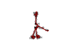 CC(=O)N[C@H]1[C@H]2OC[C@](COCCOCCOCCOCCn3cc(COCC(COCc4cn(CCCCCOCCOCCOO[C@]56CO[C@@H](O5)[C@H](NC(C)=O)[C@@H](OC(C)=O)[C@H]6OC(C)=O)nn4)(COCc4cn(CCOCCOCCOCCOC[C@@]56CO[C@@H](O5)[C@H](NC(C)=O)[C@@H](OC(C)=O)[C@H]6OC(C)=O)nn4)NC(=O)CCCCCNC(=O)CCCCCOCc4ccccc4)nn3)(O2)[C@H](OC(C)=O)[C@@H]1OC(C)=O